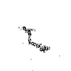 COc1cc2nn(CCN3CCN(C(=O)C4CCC5(CC4)CCN(c4ncc(Nc6cccc7c6C(=O)N(C6CCC(=O)NC6=O)C7=O)cn4)CC5)CC3)cc2cc1NC(=O)c1cccc(C(F)(F)F)n1